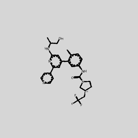 Cc1ccc(NC(=O)N2CC[C@@H](CC(F)(F)F)C2)cc1-c1cc(NC(C)CO)nc(-c2ccncc2)c1